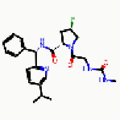 CNC(=O)NCC(=O)N1C[C@H](F)C[C@H]1C(=O)N[C@@H](c1ccccc1)c1ccc(C(C)C)cn1